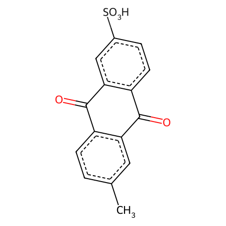 Cc1ccc2c(c1)C(=O)c1ccc(S(=O)(=O)O)cc1C2=O